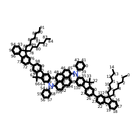 CCCCCCCC1(CCCCCCC)c2ccccc2-c2ccc(-c3ccc4c(c3)C(C)(C)c3cc(N(c5ccccc5)c5ccc6ccc7c(N(c8ccccc8)c8ccc9c(c8)C(C)(C)c8cc(-c%10ccc%11c(c%10)C(CCCCCCC)(CCCCCCC)c%10ccccc%10-%11)ccc8-9)ccc8ccc5c6c87)ccc3-4)cc21